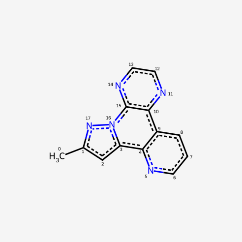 Cc1cc2c3ncccc3c3nccnc3n2n1